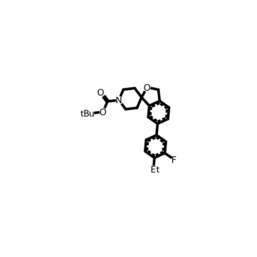 CCc1ccc(-c2ccc3c(c2)C2(CCN(C(=O)OC(C)(C)C)CC2)OC3)cc1F